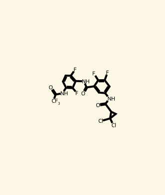 O=C(Nc1c(F)ccc(NC(=O)C(F)(F)F)c1F)c1cc(NC(=O)C2CC2(Cl)Cl)cc(F)c1F